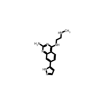 CNCCNc1nc(N)nc2cc(-c3ccn[nH]3)ccc12